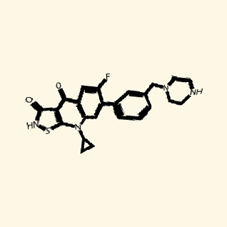 O=c1[nH]sc2c1c(=O)c1cc(F)c(-c3cccc(CN4CCNCC4)c3)cc1n2C1CC1